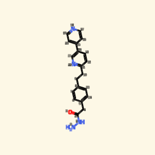 NNC(=O)Cc1ccc(CCc2ccc(-c3ccncc3)cn2)cc1